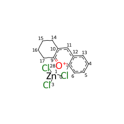 [Cl][Zn-]([Cl])[Cl].c1ccc2[o+]c3c(cc2c1)CCCC3